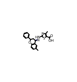 Cc1ccc2c(c1)/C(=N/Nc1nc(C)c(C(=O)O)s1)CC(c1ccccc1)O2